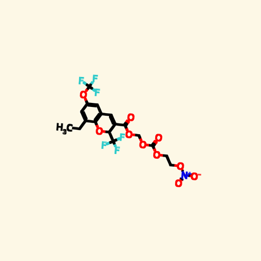 CCc1cc(OC(F)(F)F)cc2c1OC(C(F)(F)F)C(C(=O)OCOC(=O)OCCO[N+](=O)[O-])=C2